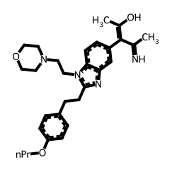 CCCOc1ccc(CCc2nc3cc(/C(C(C)=N)=C(\C)O)ccc3n2CCN2CCOCC2)cc1